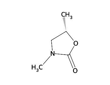 C[C@H]1CN(C)C(=O)O1